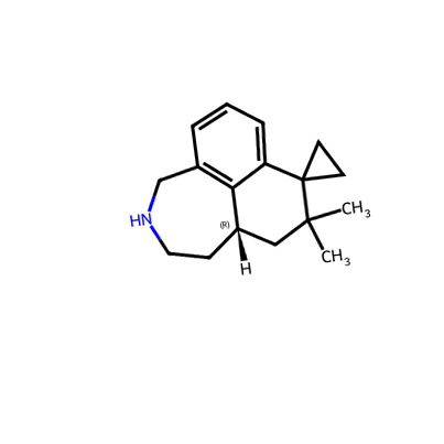 CC1(C)C[C@@H]2CCNCc3cccc(c32)C12CC2